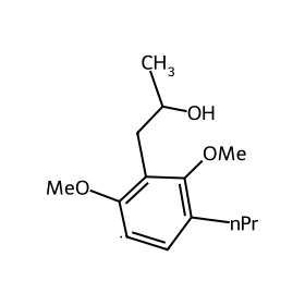 CCCc1c[c]c(OC)c(CC(C)O)c1OC